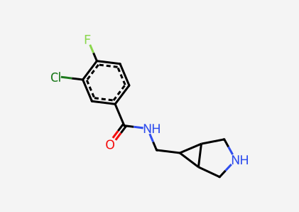 O=C(NCC1C2CNCC21)c1ccc(F)c(Cl)c1